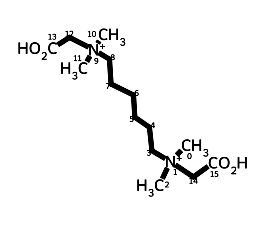 C[N+](C)(CCCCCC[N+](C)(C)CC(=O)O)CC(=O)O